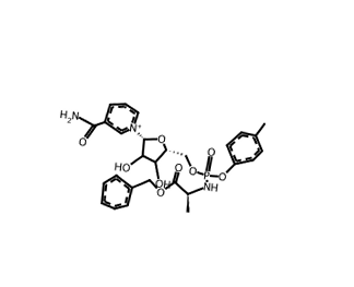 Cc1ccc(OP(=O)(N[C@@H](C)C(=O)OCc2ccccc2)OC[C@H]2O[C@@H]([n+]3cccc(C(N)=O)c3)C(O)C2O)cc1